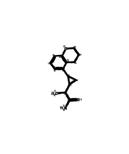 CC(C(N)=O)C1CC1c1cccc2c1CCCO2